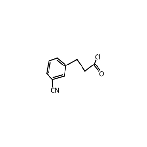 N#Cc1cccc(CCC(=O)Cl)c1